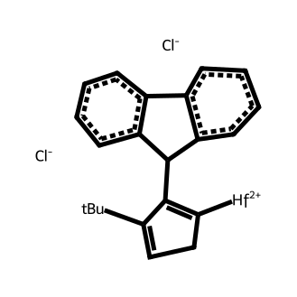 CC(C)(C)C1=CC[C]([Hf+2])=C1C1c2ccccc2-c2ccccc21.[Cl-].[Cl-]